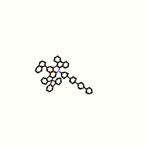 c1ccc(-c2ccc(-c3ccc(-c4ccc(N(c5ccc6c(c5)C5(c7ccccc7-c7ccccc75)c5ccccc5-6)c5c(-c6cccc(-c7cccc8ccccc78)c6)c6ccccc6c6ccccc56)cc4)cc3)cc2)cc1